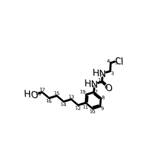 O=C(NCCCl)Nc1cccc(CCCCCCO)c1